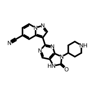 N#Cc1ccn2ncc(-c3ncc4[nH]c(=O)n(C5CCNCC5)c4n3)c2c1